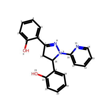 Oc1ccccc1C1=NN(c2ccccn2)C(c2ccccc2O)C1